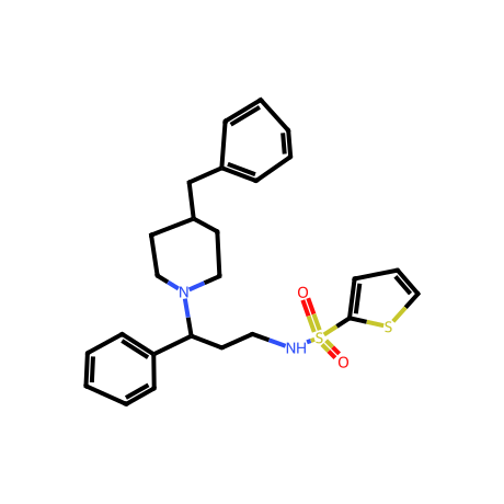 O=S(=O)(NCCC(c1ccccc1)N1CCC(Cc2ccccc2)CC1)c1cccs1